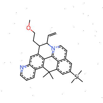 C=CC1C(CCOC)c2cc3ncccc3c3c2-c2c4c(cc([Si](C)(C)C)cc4cc[n+]21)C3(C)C